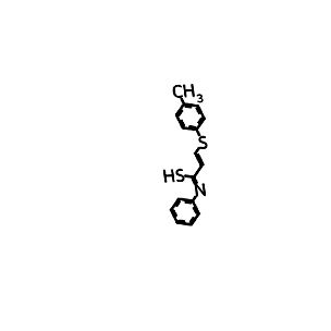 Cc1ccc(SC=CC(S)=Nc2ccccc2)cc1